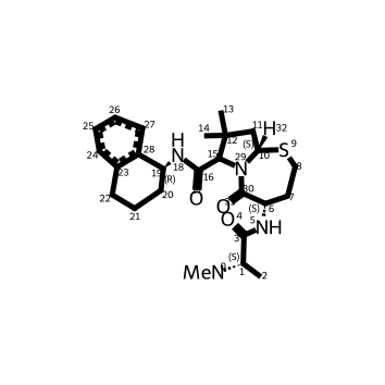 CN[C@@H](C)C(=O)N[C@H]1CCS[C@H]2CC(C)(C)C(C(=O)N[C@@H]3CCCc4ccccc43)N2C1=O